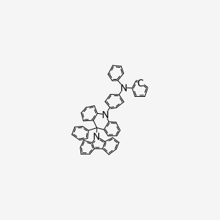 c1ccc(N(c2ccccc2)c2ccc(N3c4ccccc4C(c4ccccc4)(n4c5ccccc5c5ccccc54)c4ccccc43)cc2)cc1